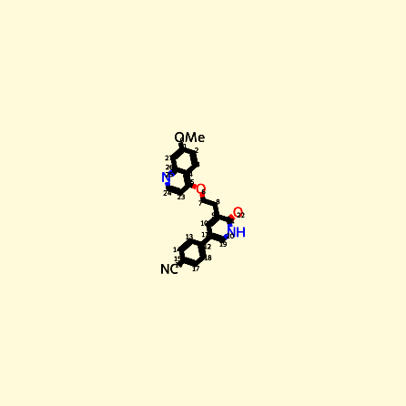 COc1ccc2c(OCCc3cc(-c4ccc(C#N)cc4)c[nH]c3=O)ccnc2c1